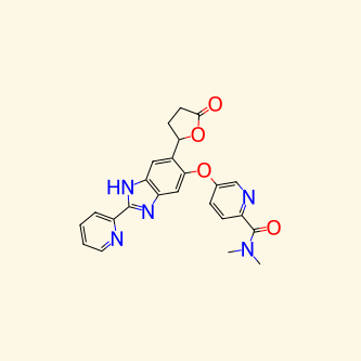 CN(C)C(=O)c1ccc(Oc2cc3nc(-c4ccccn4)[nH]c3cc2C2CCC(=O)O2)cn1